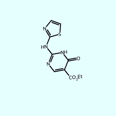 CCOC(=O)c1cnc(Nc2nccs2)[nH]c1=O